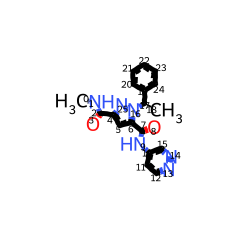 CNC(=O)c1cc(C(=O)Nc2ccnnc2)n([C@@H](C)c2ccccc2)n1